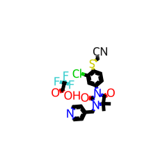 CC1(C)C(=O)N(c2ccc(SCC#N)c(Cl)c2)C(=O)N1Cc1ccncc1.O=C(O)C(F)(F)F